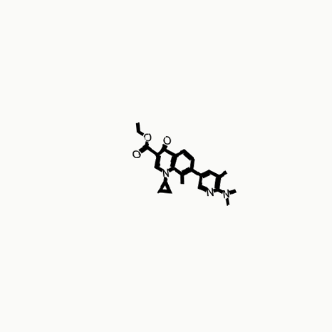 CCOC(=O)c1cn(C2CC2)c2c(C)c(-c3cnc(N(C)C)c(C)c3)ccc2c1=O